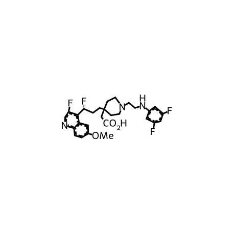 COc1ccc2ncc(F)c([C@H](F)CCC3(CC(=O)O)CCN(CCNc4cc(F)cc(F)c4)CC3)c2c1